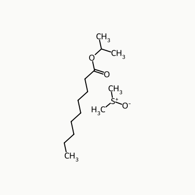 CCCCCCCCC(=O)OC(C)C.C[S+](C)[O-]